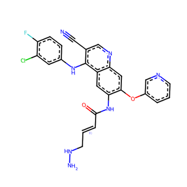 N#Cc1cnc2cc(Oc3cccnc3)c(NC(=O)/C=C/CNN)cc2c1Nc1ccc(F)c(Cl)c1